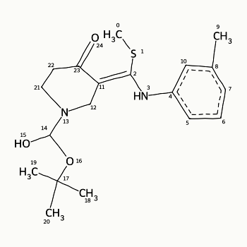 CS/C(Nc1cccc(C)c1)=C1/CN(C(O)OC(C)(C)C)CCC1=O